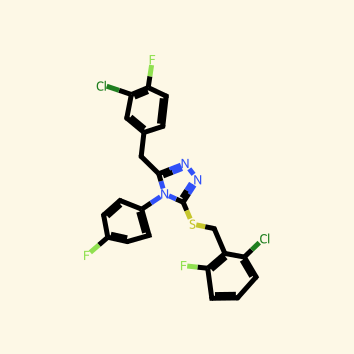 Fc1ccc(-n2c(Cc3ccc(F)c(Cl)c3)nnc2SCc2c(F)cccc2Cl)cc1